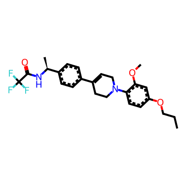 CCCOc1ccc(N2CC=C(c3ccc([C@H](C)NC(=O)C(F)(F)F)cc3)CC2)c(OC)c1